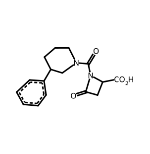 O=C(O)C1CC(=O)N1C(=O)N1CCCC(c2ccccc2)C1